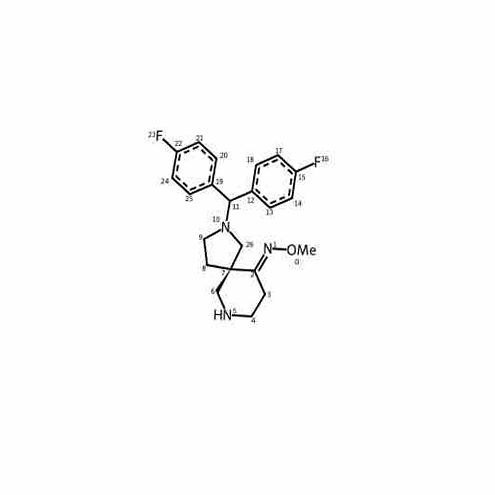 CO/N=C1\CCNC[C@]12CCN(C(c1ccc(F)cc1)c1ccc(F)cc1)C2